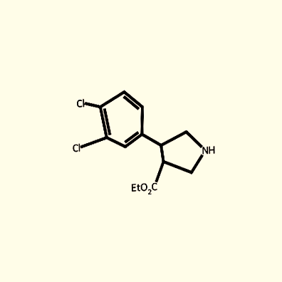 CCOC(=O)C1CNCC1c1ccc(Cl)c(Cl)c1